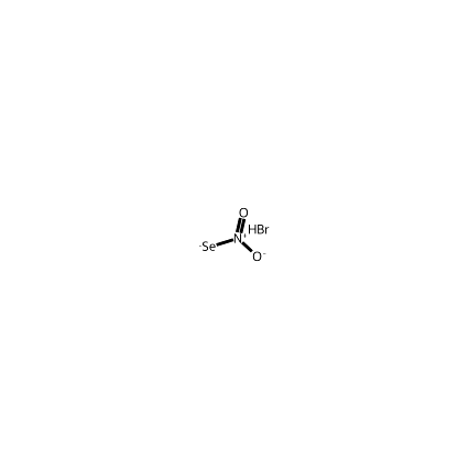 Br.O=[N+]([O-])[Se]